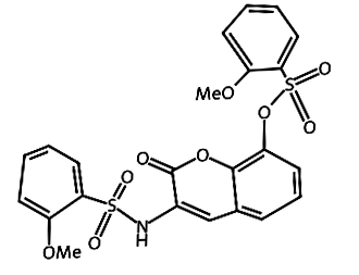 COc1ccccc1S(=O)(=O)Nc1cc2cccc(OS(=O)(=O)c3ccccc3OC)c2oc1=O